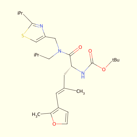 C/C(=C\c1ccoc1C)C[C@@H](NC(=O)OC(C)(C)C)C(=O)N(Cc1csc(C(C)C)n1)CC(C)C